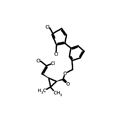 CC1(C)[C@H](C(=O)OCc2cccc(-c3ccc(Cl)cc3Cl)c2)[C@@H]1C=C(Cl)Cl